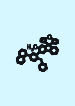 Cc1cc2c(cc1-c1cc(-c3cccc4ccccc34)ccc1Cc1ccccc1)-c1ccccc1C21c2ccccc2Oc2ccccc21